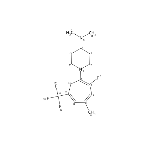 CC1=CC(F)=C(N2CCC(N(C)C)CC2)CC(C(F)(F)F)=C1